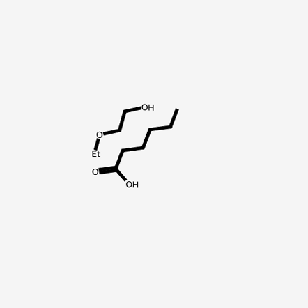 CCCCCC(=O)O.CCOCCO